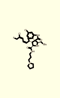 CC(/C=C\C=C(\Cl)CF)[C@H]1[C@H](C(=O)NCCCN2CCCC2)N[C@H](CC(C)(C)C)[C@]12C(=O)Nc1cc(Cl)ccc12